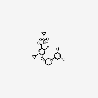 O=C(NS(=O)(=O)C1CC1)c1cc(C2CC2)c(O[C@@H]2CCCN(c3cc(Cl)cc(Cl)c3)C2)cc1F